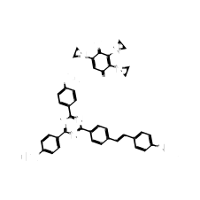 CC(C)(C)c1ccc(-c2nc(-c3ccc(/C=C/c4ccc(N)cc4)cc3)nc(-c3ccc(C(C)(C)C)cc3)n2)cc1.O=C1C=C(N2CC2)C(=O)C(N2CC2)=C1N1CC1